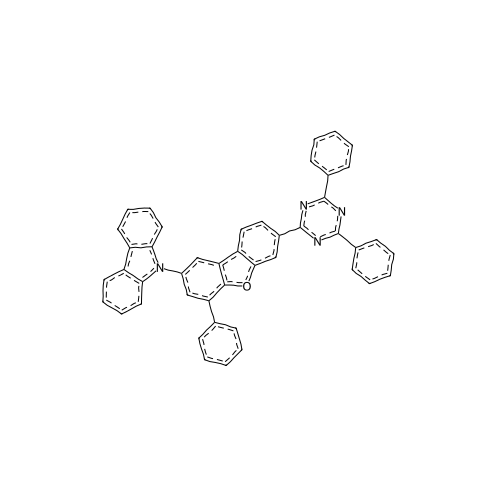 c1ccc(-c2nc(-c3ccccc3)nc(-c3ccc4c(c3)oc3c(-c5ccccc5)cc(-n5c6ccccc6c6ccccc65)cc34)n2)cc1